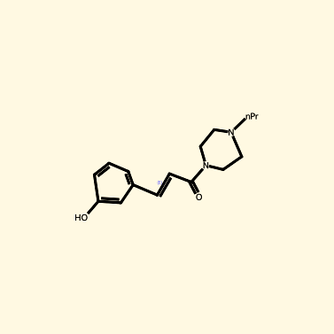 CCCN1CCN(C(=O)/C=C/c2cccc(O)c2)CC1